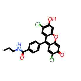 CCCNC(=O)c1ccc(-c2c3cc(Cl)c(=O)cc-3oc3cc(O)c(Cl)cc23)cc1